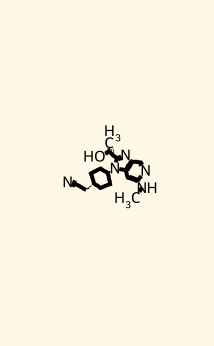 CNc1cc2c(cn1)nc([C@@H](C)O)n2[C@H]1CC[C@@H](CC#N)CC1